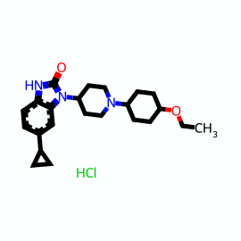 CCOC1CCC(N2CCC(n3c(=O)[nH]c4ccc(C5CC5)cc43)CC2)CC1.Cl